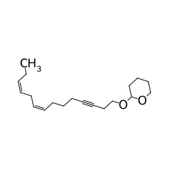 CC/C=C\C/C=C\CCCC#CCCOC1CCCCO1